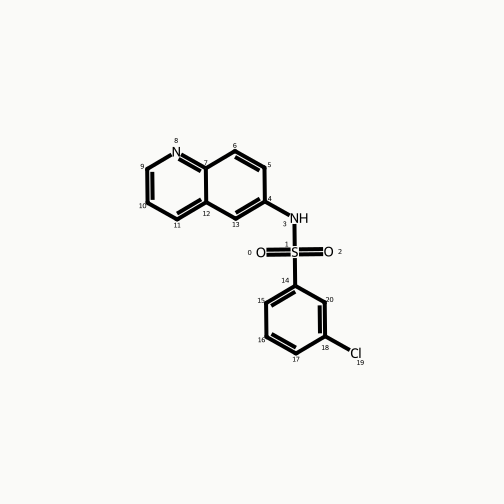 O=S(=O)(Nc1ccc2ncccc2c1)c1cccc(Cl)c1